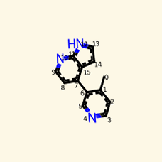 Cc1ccncc1-c1ccnc2[nH]ccc12